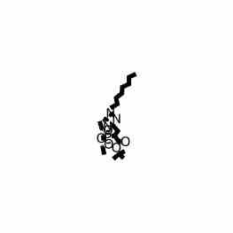 CCCCCCCCn1cnc(CC(C(=O)OC(C)(C)C)P(=O)(OCC)OCC)n1